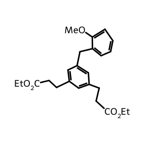 CCOC(=O)CCc1cc(CCC(=O)OCC)cc(Cc2ccccc2OC)c1